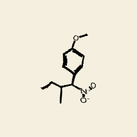 CCC(C)C(c1ccc(OC)cc1)[N+](=O)[O-]